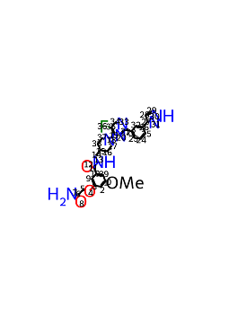 COc1cc(OCC(N)=O)cc(C(=O)NCC2CCN(c3nc(-c4cccc(-c5cc[nH]n5)c4)ncc3F)CC2)c1